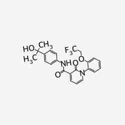 CC(C)(O)c1ccc(NC(=O)c2cccn(-c3ccccc3OCC(F)(F)F)c2=O)cc1